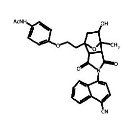 CC(=O)Nc1ccc(OCCC23CC(O)C(C)(O2)C2C(=O)N(c4ccc(C#N)c5ccccc45)C(=O)C23)cc1